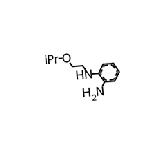 CC(C)OCCNc1ccccc1N